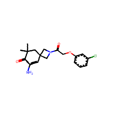 CC1(C)CC2(C=C(N)C1=O)CN(C(=O)COc1cccc(Cl)c1)C2